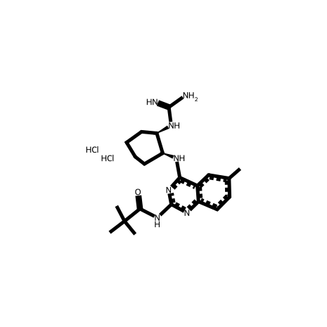 Cc1ccc2nc(NC(=O)C(C)(C)C)nc(N[C@H]3CCCC[C@H]3NC(=N)N)c2c1.Cl.Cl